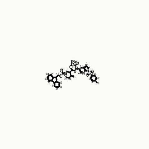 Cc1ccc(S(=O)(=O)n2ccc3nc(N(CC(=O)C4CN(C(=O)OCC5c6ccccc6-c6ccccc65)CCC4C)C(=O)OC(C)(C)C)cnc32)cc1